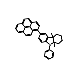 CC12CCCCC1(C)c1cc(-c3ccc4ccc5cccc6ccc3c4c56)ccc1B2c1ccccc1